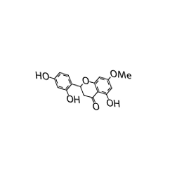 COc1cc(O)c2c(c1)OC(c1ccc(O)cc1O)CC2=O